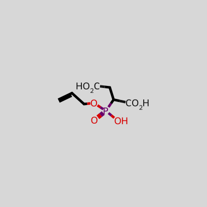 C=CCOP(=O)(O)C(CC(=O)O)C(=O)O